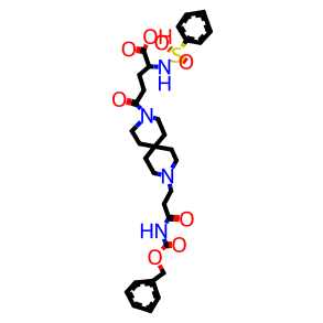 O=C(CCN1CCC2(CC1)CCN(C(=O)CCC(NS(=O)(=O)c1ccccc1)C(=O)O)CC2)NC(=O)OCc1ccccc1